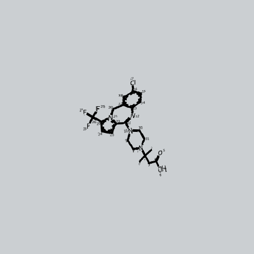 CC(C)(CC(=O)O)N1CCN(C2=Nc3ccc(Cl)cc3Cn3c2ccc3C(F)(F)F)CC1